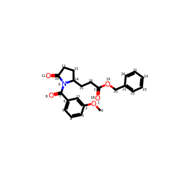 COc1cccc(C(=O)N2C(=O)CCC2CCC(=O)OCc2ccccc2)c1